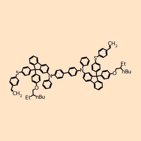 C=Cc1ccc(Sc2ccc(C3(c4ccc(OCC(CC)CCCC)cc4)c4ccccc4-c4ccc(N(c5ccccc5)c5ccc(-c6ccc(N(c7ccccc7)c7ccc8c(c7)C(c7ccc(OCC(CC)CCCC)cc7)(c7ccc(Sc9ccc(C=C)cc9)cc7)c7ccccc7-8)cc6)cc5)cc43)cc2)cc1